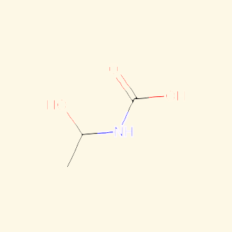 [CH2]C(O)NC(=O)O